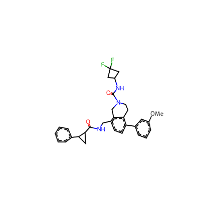 COc1cccc(-c2ccc(CNC(=O)C3CC3c3ccccc3)c3c2CCN(C(=O)NC2CC(F)(F)C2)C3)c1